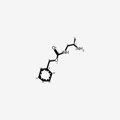 C[C@@H](N)CNC(=O)OCc1ccccc1